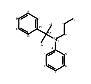 CCCN(c1ccccc1)C(C)(C)c1ccccc1